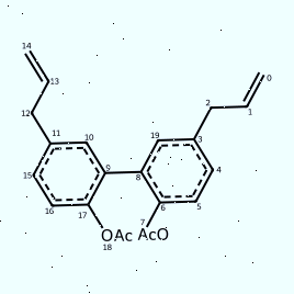 C=CCc1ccc(OC(C)=O)c(-c2cc(CC=C)ccc2OC(C)=O)c1